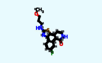 COCCCNc1nc2c3ccc(F)cc3c3c(=O)[nH]ccc3c2s1